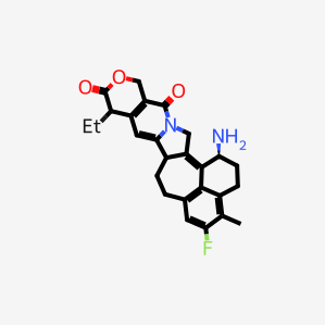 CCC1C(=O)OCc2c1cc1n(c2=O)CC2=C3c4c(cc(F)c(C)c4CC[C@@H]3N)CCC21